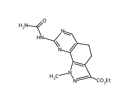 CCOC(=O)c1nn(C)c2c1CCc1cnc(NC(N)=O)nc1-2